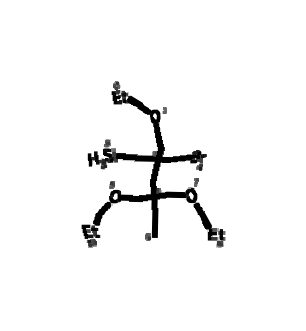 CCOC([SiH3])(Br)C(C)(OCC)OCC